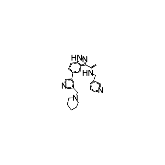 C=C(NCc1cccnc1)c1n[nH]c2ccc(-c3cncc(CN4CCCCC4)c3)cc12